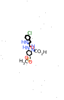 CS(=O)(=O)C[C@H]1CC[C@H](NC(=O)c2cc3cc(Cl)ccc3[nH]2)[C@H](NC(=O)O)C1